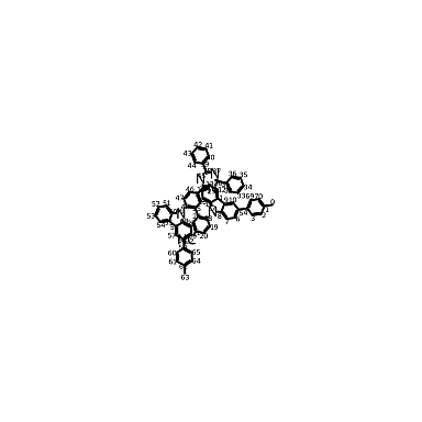 Cc1ccc(-c2ccc3c(c2)c2ccccc2n3-c2ccc(C#N)cc2-c2cc(-c3nc(-c4ccccc4)nc(-c4ccccc4)n3)ccc2-n2c3ccccc3c3cc(-c4ccc(C)cc4)ccc32)cc1